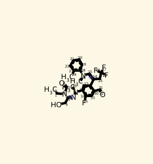 CCN(C=O)/C(CO)=N\N(C)c1cc(/C(=C\N(C)c2ccccc2C)CC(F)(F)F)c(C=O)cc1F